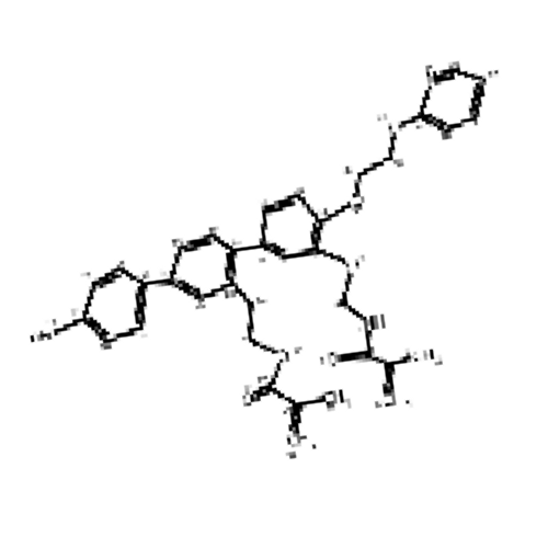 C=C(C)C(=O)NCOc1cc(-c2ccc(-c3ccc(CCC)cc3)cc2CCOC(=O)C(=C)C)ccc1OCCOc1ccccn1